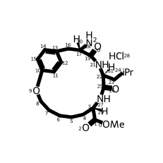 COC(=O)[C@@H]1CCCCCOc2ccc(cc2)C[C@H](N)C(=O)N[C@@H](CC(C)C)C(=O)N1.Cl